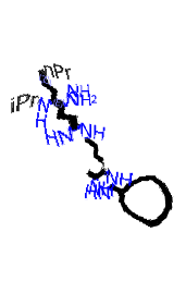 CCC/C=C\C/C(NC(C)C)=C(/CCC(=N)NCCCC[C@H](NC(=N)C1CCCCCCCCCCCC1)C(C)=N)NN